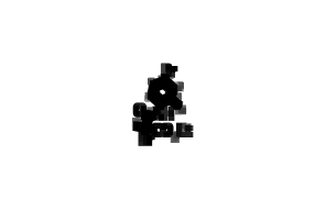 CCOC(=O)C(C)(Br)C(=O)Nc1ccc(Br)cc1C